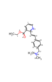 CCOC(=O)c1cccnc1C=Cc1ccc(CN(C)C)cc1